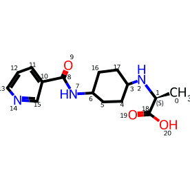 C[C@H](NC1CCC(NC(=O)c2cccnc2)CC1)C(=O)O